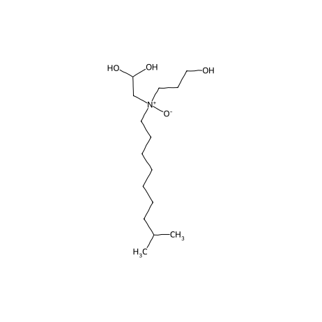 CC(C)CCCCCCC[N+]([O-])(CCCO)CC(O)O